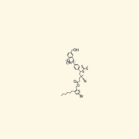 [C-]#[N+]/C(=C\c1cc(CO)ccc1OC)c1ccc(C(CC(C)(C#N)CCC(=O)OCc2sc(Br)cc2CCCCCC)SC(=S)SC)cc1